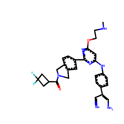 CNCCOc1cc(Nc2ccc(/C(C=N)=C/N)cc2)nc(-c2ccc3c(c2)CN(C(=O)C2CC(F)(F)C2)C3)n1